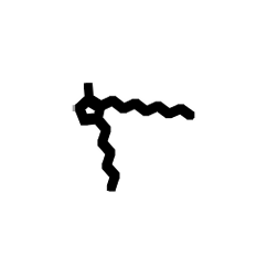 CCCCCCCCC1=C(C)[CH]C=C1CCCCCC